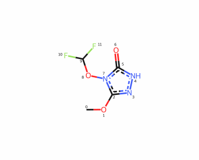 COc1n[nH]c(=O)n1OC(F)F